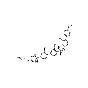 C/C=C/CCc1cnc(-c2ccc(-c3ccc(C(F)(F)Oc4ccc(-c5ccc(CC)cc5)c(F)c4)c(F)c3)c(F)c2)nc1